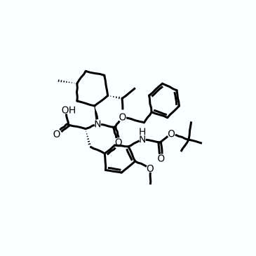 COc1ccc(C[C@H](C(=O)O)N(C(=O)OCc2ccccc2)[C@H]2C[C@H](C)CC[C@@H]2C(C)C)cc1NC(=O)OC(C)(C)C